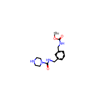 CC(C)(C)OC(=O)NCc1cccc(CNC(=O)N2CCNCC2)c1